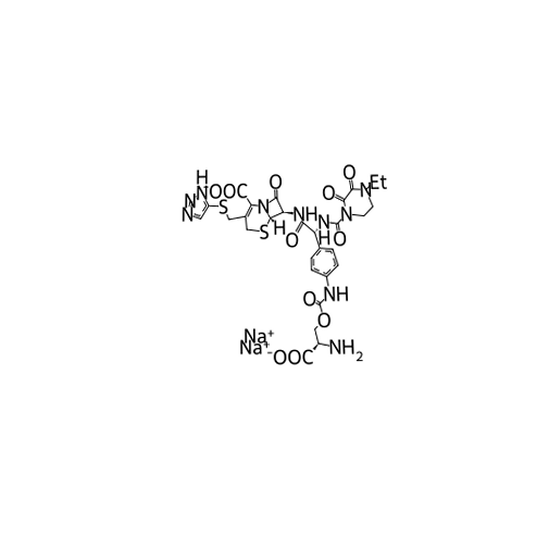 CCN1CCN(C(=O)N[C@@H](C(=O)N[C@@H]2C(=O)N3C(C(=O)[O-])=C(CSc4cnn[nH]4)CS[C@@H]23)c2ccc(NC(=O)OC[C@@H](N)C(=O)[O-])cc2)C(=O)C1=O.[Na+].[Na+]